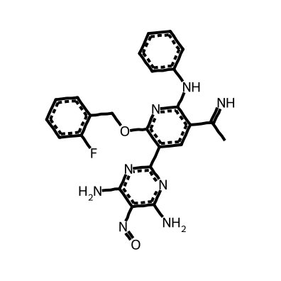 CC(=N)c1cc(-c2nc(N)c(N=O)c(N)n2)c(OCc2ccccc2F)nc1Nc1ccccc1